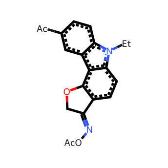 CCn1c2ccc(C(C)=O)cc2c2c3c(ccc21)/C(=N/OC(C)=O)CO3